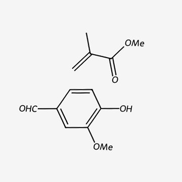 C=C(C)C(=O)OC.COc1cc(C=O)ccc1O